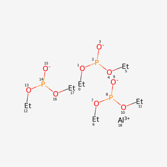 CCOP([O-])OCC.CCOP([O-])OCC.CCOP([O-])OCC.[Al+3]